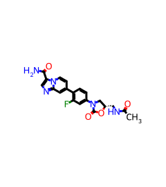 CC(=O)NC[C@H]1CN(c2ccc(-c3ccn4c(C(N)=O)cnc4c3)c(F)c2)C(=O)O1